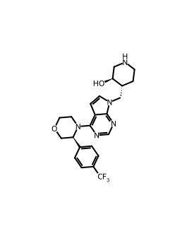 O[C@H]1CNCC[C@@H]1Cn1ccc2c(N3CCOC[C@@H]3c3ccc(C(F)(F)F)cc3)ncnc21